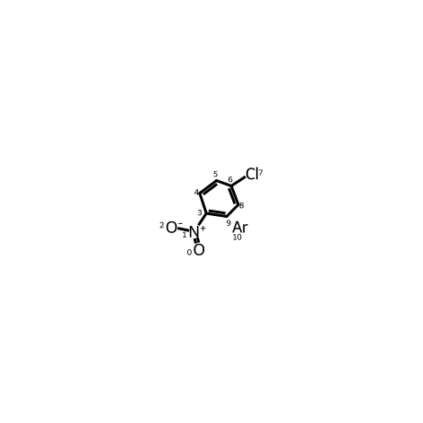 O=[N+]([O-])c1ccc(Cl)cc1.[Ar]